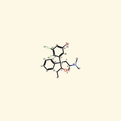 CCC(O)[C@](C[C@H](C)N(C)C)(c1ccccc1)c1cc(Br)cc(F)c1F